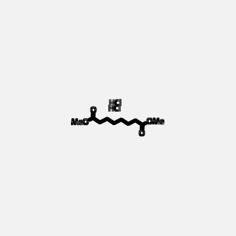 COC(=O)CCCCCCC(=O)OC.Cl.Cl